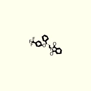 O=C1c2ccccc2C(=O)N1CC[C@H](Oc1ccc(C(F)(F)F)cc1)c1ccccc1